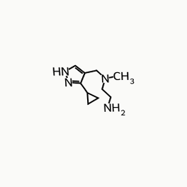 CN(CCN)Cc1c[nH]nc1C1CC1